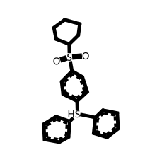 O=S(=O)(c1ccc([SH](c2ccccc2)c2ccccc2)cc1)C1CCCCC1